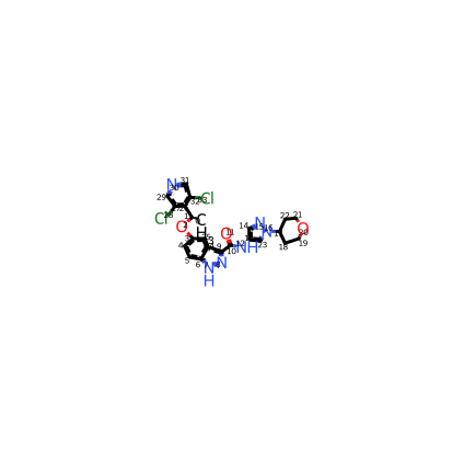 C[C@@H](Oc1ccc2[nH]nc(C(=O)Nc3cnn(C4CCOCC4)c3)c2c1)c1c(Cl)cncc1Cl